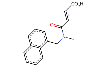 CN(Cc1cccc2ccccc12)C(=O)/C=C/C(=O)O